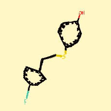 Oc1ccc(SCc2ccc(F)cc2)cc1